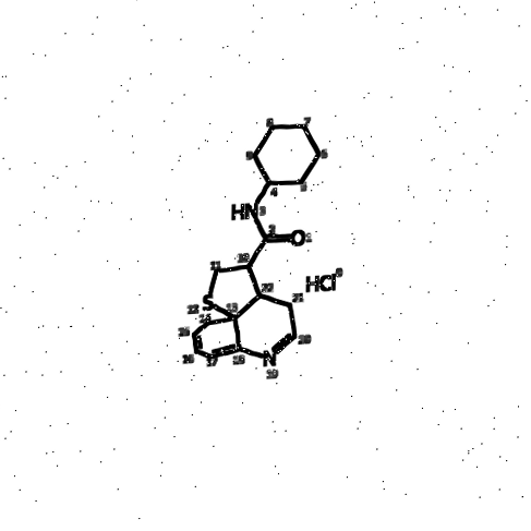 Cl.O=C(NC1CCCCC1)C1CSC23CC=CC=C2N=CCC13